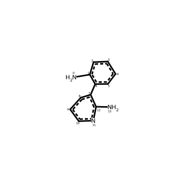 Nc1ccccc1-c1cccnc1N